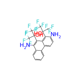 Nc1ccc2c(c1C(O)(C(F)(F)F)C(F)(F)F)c(C(O)(C(F)(F)F)C(F)(F)F)c(N)c1ccccc12